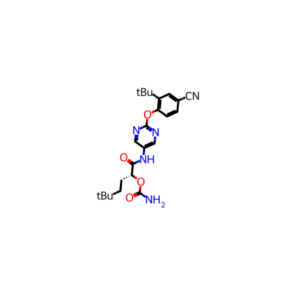 CC(C)(C)CC[C@@H](OC(N)=O)C(=O)Nc1cnc(Oc2ccc(C#N)cc2C(C)(C)C)nc1